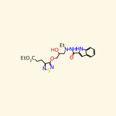 CCOC(=O)CCc1nsnc1OCC(O)CN(CC)NC(=O)c1cc2ccccc2[nH]1